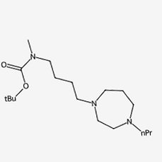 CCCN1CCCN(CCCCN(C)C(=O)OC(C)(C)C)CC1